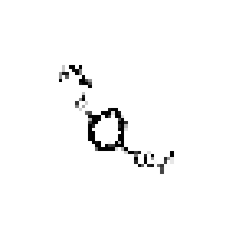 N=POc1ccc(C(=O)O)cc1